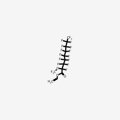 C=COC(=O)C(F)(OC(F)(F)F)C(F)(F)C(F)(F)C(F)(F)C(F)(F)C(F)(F)C(F)(F)C(F)(F)F